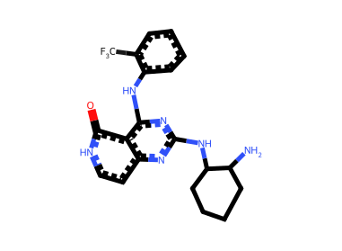 NC1CCCCC1Nc1nc(Nc2ccccc2C(F)(F)F)c2c(=O)[nH]ccc2n1